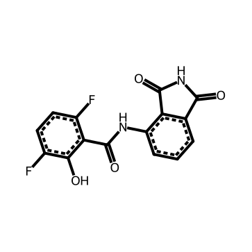 O=C1NC(=O)c2c(NC(=O)c3c(F)ccc(F)c3O)cccc21